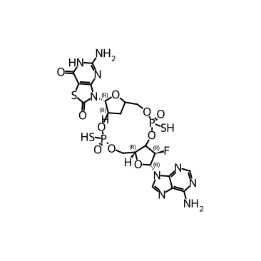 Nc1nc2c(sc(=O)n2[C@@H]2OC3COP(=O)(S)OC4[C@@H](F)[C@H](n5cnc6c(N)ncnc65)O[C@@H]4COP(=O)(S)O[C@@H]2C3)c(=O)[nH]1